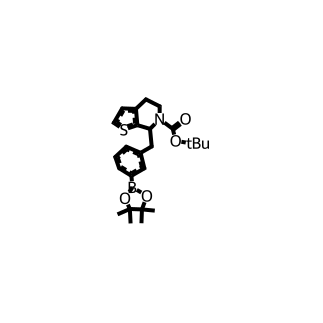 CC(C)(C)OC(=O)N1CCc2ccsc2C1Cc1cccc(B2OC(C)(C)C(C)(C)O2)c1